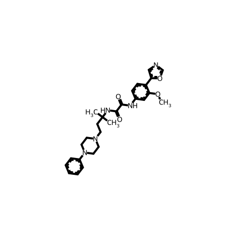 COc1cc(NC(=O)C(=O)NC(C)(C)CCN2CCN(c3ccccc3)CC2)ccc1-c1cnco1